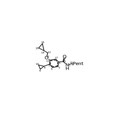 CCCC(C)NC(=O)c1ccc(C2CC2)c(OCC2CC2)c1